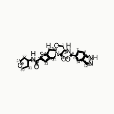 CC[C@@H](NC(=O)c1ccc2[nH]ncc2c1)C(=O)N1CCc2sc(C(=O)NC3CCOCC3)cc2C1